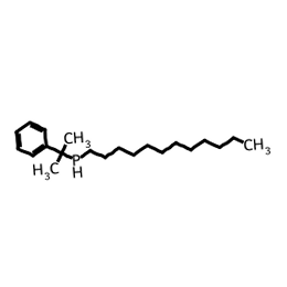 CCCCCCCCCCCCPC(C)(C)c1ccccc1